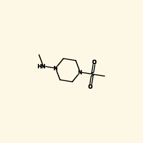 CNN1CCN(S(C)(=O)=O)CC1